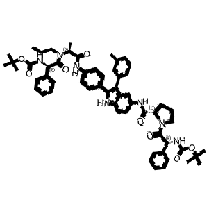 CCCN(C(=O)[C@H](NC(=O)OC(C)(C)C)c1ccccc1)[C@@H](C)C(=O)Nc1ccc(-c2[nH]c3ccc(NC(=O)[C@@H]4CCCN4C(=O)[C@H](NC(=O)OC(C)(C)C)c4ccccc4)cc3c2-c2cccc(C)c2)cc1